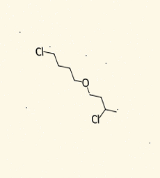 CC(Cl)CCOCCCCCl